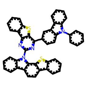 c1ccc(-n2c3ccccc3c3cc(-c4nc(-n5c6ccccc6c6ccc7c8ccccc8sc7c65)nc5c4sc4ccccc45)ccc32)cc1